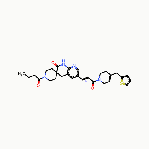 CCCC(=O)N1CCC2(CC1)Cc1cc(/C=C/C(=O)N3CC=C(Cc4cccs4)CC3)cnc1NC2=O